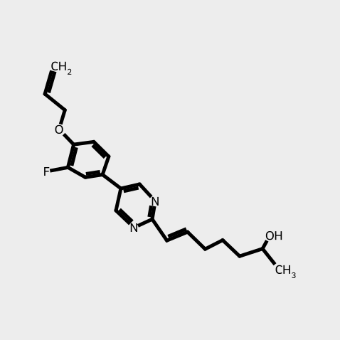 C=CCOc1ccc(-c2cnc(/C=C/CCCC(C)O)nc2)cc1F